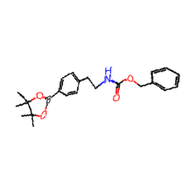 CC1(C)OB(c2ccc(CCNC(=O)OCc3ccccc3)cc2)OC1(C)C